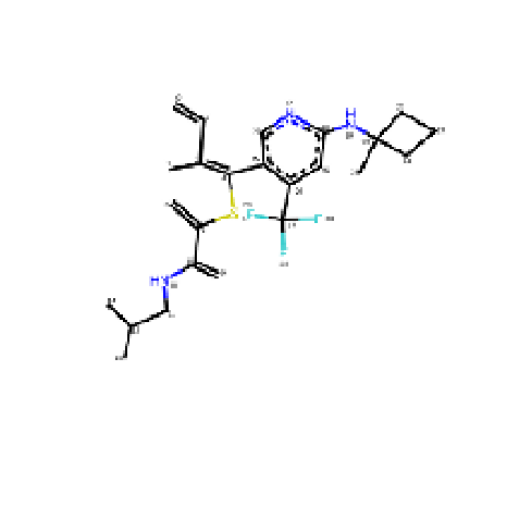 C=C/C(C)=C(/SC(=C)C(=C)NCC(C)C)c1cnc(NC2(C)CCC2)cc1C(F)(F)F